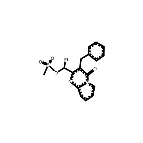 CCC(OS(C)(=O)=O)c1nc2ccccn2c(=O)c1Cc1ccccc1